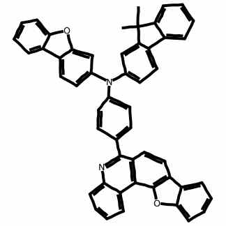 CC1(C)c2ccccc2-c2ccc(N(c3ccc(-c4nc5ccccc5c5c4ccc4c6ccccc6oc45)cc3)c3ccc4c(c3)oc3ccccc34)cc21